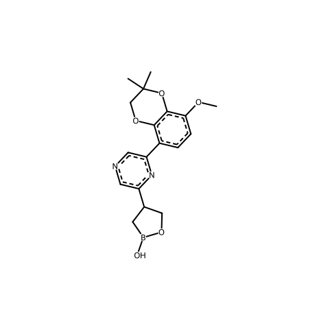 COc1ccc(-c2cncc(C3COB(O)C3)n2)c2c1OC(C)(C)CO2